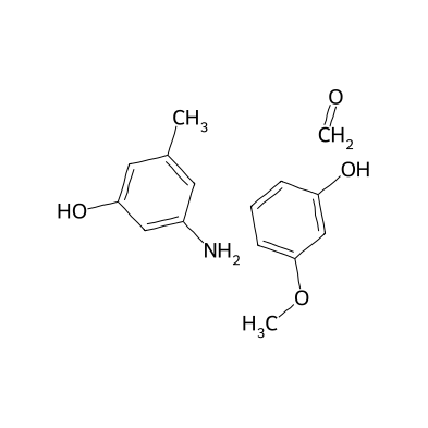 C=O.COc1cccc(O)c1.Cc1cc(N)cc(O)c1